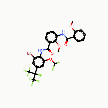 COc1ccccc1C(=O)Nc1cccc(C(=O)Nc2c(Br)cc(C(F)(C(F)(F)F)C(F)(F)F)cc2OC(F)F)c1OC